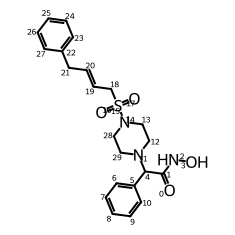 O=C(NO)C(c1ccccc1)N1CCN(S(=O)(=O)CC=CCc2ccccc2)CC1